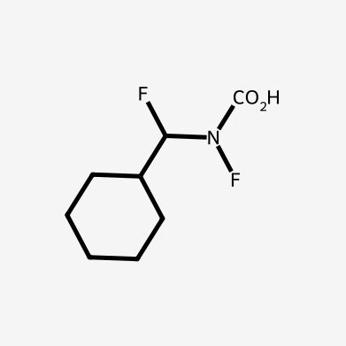 O=C(O)N(F)C(F)C1CCCCC1